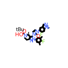 Cc1cc(-n2nc3c(c2-n2ccn(-c4cc5cnn(C)c5cc4F)c2=O)[C@H](C)N(C(O)OC(C)(C)C)CC3)cc(C)c1F